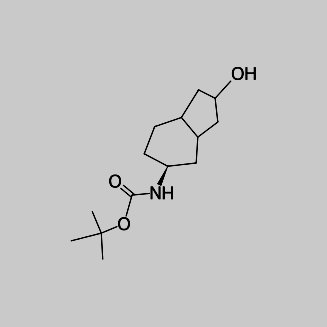 CC(C)(C)OC(=O)N[C@H]1CCC2CC(O)CC2C1